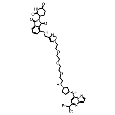 CCC(CC)c1cc(N[C@H]2CC[C@H](NCCOCCOCCOCCn3cc(CNc4cccc5c4C(=O)N(C4CCC(=O)NC4=O)C5=O)nn3)C2)n2nccc2n1